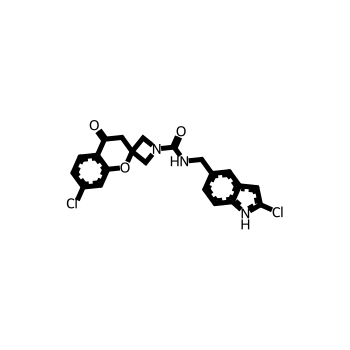 O=C1CC2(CN(C(=O)NCc3ccc4[nH]c(Cl)cc4c3)C2)Oc2cc(Cl)ccc21